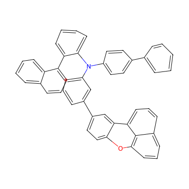 c1ccc(-c2ccc(N(c3cccc(-c4ccc5c(c4)-c4cccc6cccc(c46)O5)c3)c3ccccc3-c3cccc4ccccc34)cc2)cc1